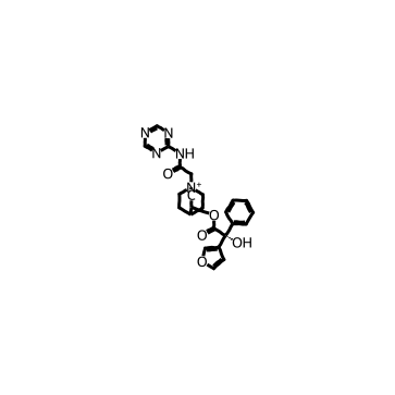 O=C(C[N+]12CCC(CC1)C(OC(=O)[C@@](O)(c1ccccc1)c1ccoc1)C2)Nc1ncncn1